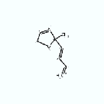 C=CC=CC1(C)N=CCO1